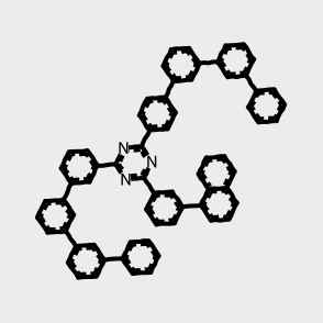 c1ccc(-c2cccc(-c3cccc(-c4ccc(-c5nc(-c6cccc(-c7cccc(-c8cccc(-c9ccccc9)c8)c7)c6)nc(-c6cccc(-c7cccc8ccccc78)c6)n5)cc4)c3)c2)cc1